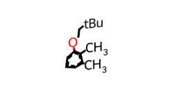 Cc1cccc(OCCC(C)(C)C)c1C